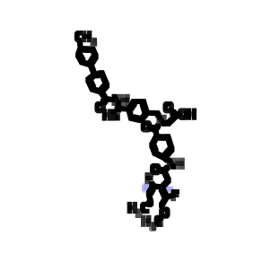 C=C/C=C(F)\C(CC(=O)Nc1ccc(C(=O)N(CC(=O)O)Cc2ccc(C(=N)NC(=O)c3ccc(-c4ccc(C)cc4)cc3)cc2)cc1)=C(\F)COC